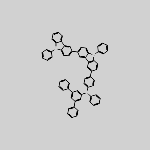 c1ccc(-c2cc(-c3ccccc3)cc(N(c3ccccc3)c3ccc(-c4ccc5c(c4)c4cc(-c6ccc7c(c6)c6ccccc6n7-c6ccccc6)ccc4n5-c4ccccc4)cc3)c2)cc1